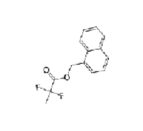 CC(F)(F)C(=O)OCc1cccc2ccccc12